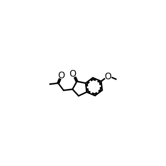 COc1ccc2c(c1)C(=O)C(CC(C)=O)C2